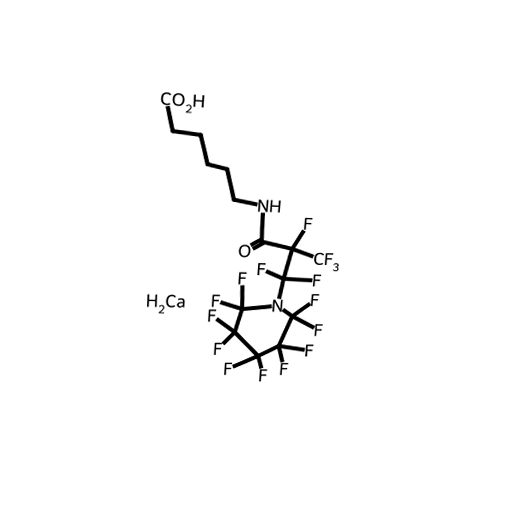 O=C(O)CCCCCNC(=O)C(F)(C(F)(F)F)C(F)(F)N1C(F)(F)C(F)(F)C(F)(F)C(F)(F)C1(F)F.[CaH2]